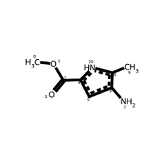 COC(=O)c1cc(N)c(C)[nH]1